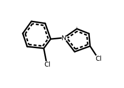 Clc1c[c]n(-c2ccccc2Cl)c1